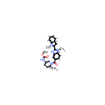 CCn1c(-c2nc3cc(C(=O)N4C[C@H](NC(=O)OC(C)(C)C)CC[C@@H]4C)ccc3n2C)cc2ccccc21